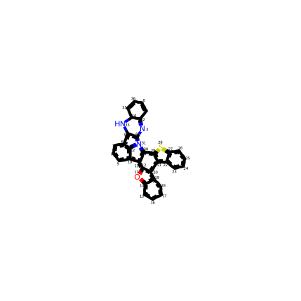 C1=CC2=Nc3c(c4cccc5c6c7oc8ccccc8c7c7c8ccccc8sc7c6n3c45)NC2C=C1